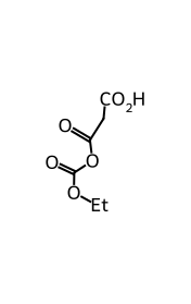 CCOC(=O)OC(=O)CC(=O)O